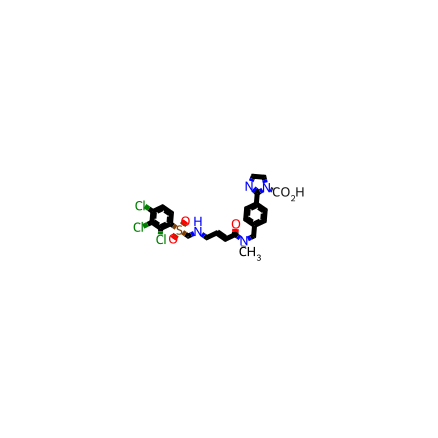 CN(Cc1ccc(C2=NCCN2C(=O)O)cc1)C(=O)/C=C/CNCS(=O)(=O)c1ccc(Cl)c(Cl)c1Cl